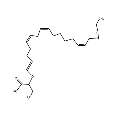 CC/C=C\C/C=C\CCCC/C=C\C/C=C\CC/C=C/OC(CC)C(=O)O